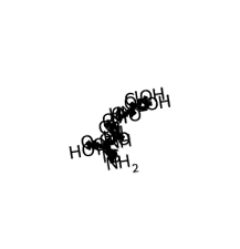 CO[C@@H](CNC(=O)C(=O)c1ccc(O)c(O)c1Cl)CSC1(C(=O)O)CN2C(=O)C(NC(=O)/C(=N\OC(C)(C)C(=O)O)c3csc(N)n3)[C@H]2S1